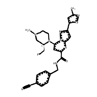 Cc1cc(-c2cc3nc(C(=O)NCc4ccc(C#N)cc4)cc(N4CCN(C)C[C@H]4CF)n3n2)on1